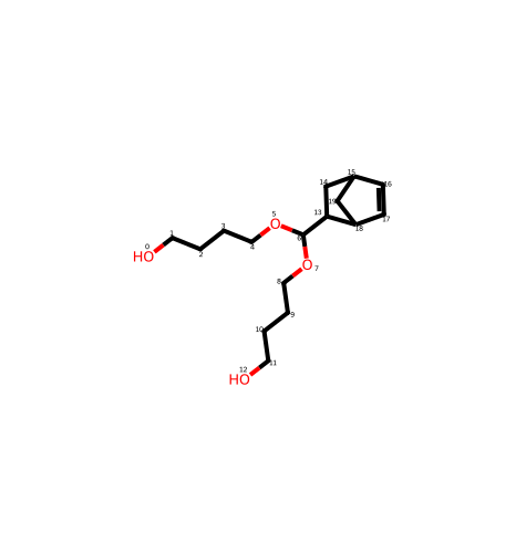 OCCCCOC(OCCCCO)C1CC2C=CC1C2